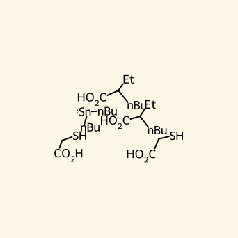 CCCCC(CC)C(=O)O.CCCCC(CC)C(=O)O.CCC[CH2][Sn][CH2]CCC.O=C(O)CS.O=C(O)CS